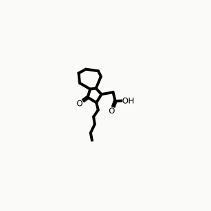 CCCCCC1C(=O)C2CCCCCC2C1CC(=O)O